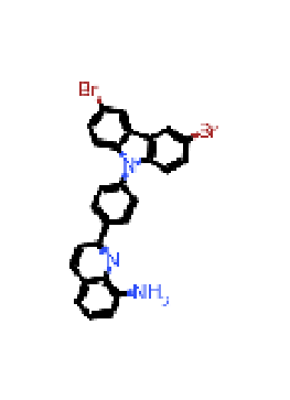 Nc1cccc2ccc(-c3ccc(-n4c5ccc(Br)cc5c5cc(Br)ccc54)cc3)nc12